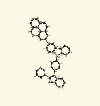 c1ccc(-c2nc3ncccn3c2-c2ccc(-n3c4ccccc4c4cc(-c5cc6ccc7cccc8ccc(c5)c6c78)ccc43)cc2)cc1